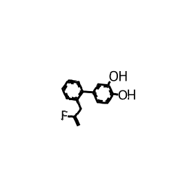 C=C(F)Cc1ccccc1-c1ccc(O)c(O)c1